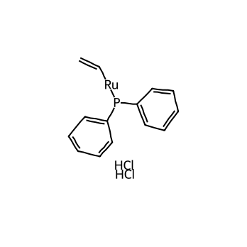 C=[CH][Ru][P](c1ccccc1)c1ccccc1.Cl.Cl